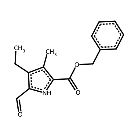 CCc1c(C=O)[nH]c(C(=O)OCc2ccccc2)c1C